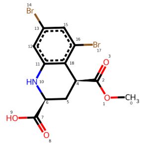 COC(=O)[C@H]1C[C@@H](C(=O)O)Nc2cc(Br)cc(Br)c21